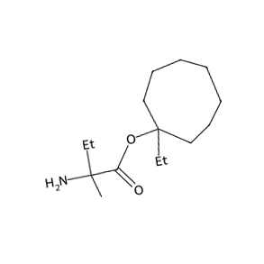 CCC1(OC(=O)C(C)(N)CC)CCCCCCC1